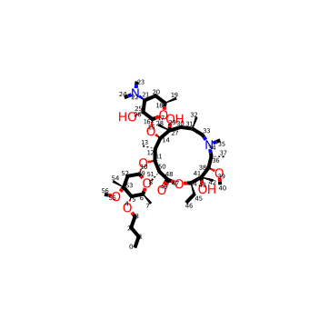 CCCCO[C@H]1[C@H](C)O[C@@H](O[C@H]2[C@H](C)[C@@H](O[C@@H]3O[C@H](C)C[C@H](N(C)C)[C@H]3O)[C@](C)(O)C[C@@H](C)CN(C)[C@H](C)[C@@H](OC)[C@](C)(O)[C@@H](CC)OC(=O)[C@@H]2C)C[C@@]1(C)OC